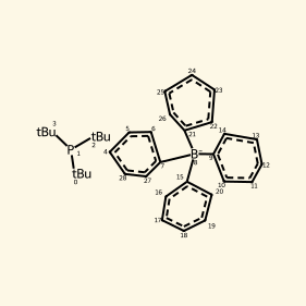 CC(C)(C)P(C(C)(C)C)C(C)(C)C.c1ccc([B-](c2ccccc2)(c2ccccc2)c2ccccc2)cc1